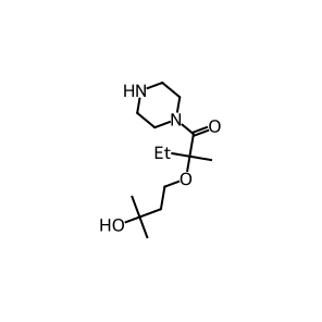 CCC(C)(OCCC(C)(C)O)C(=O)N1CCNCC1